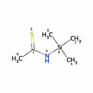 CC(=S)N[Si](C)(C)C